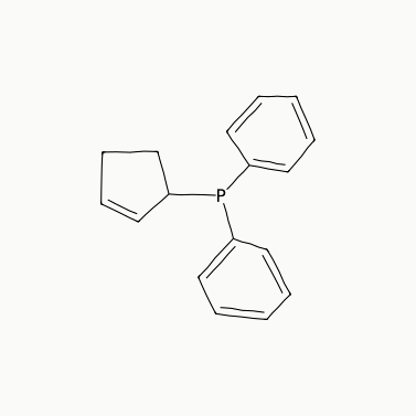 C1=CC(P(c2ccccc2)c2ccccc2)CC1